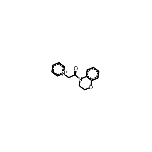 O=C(C[n+]1ccccc1)N1CCOc2ccccc21